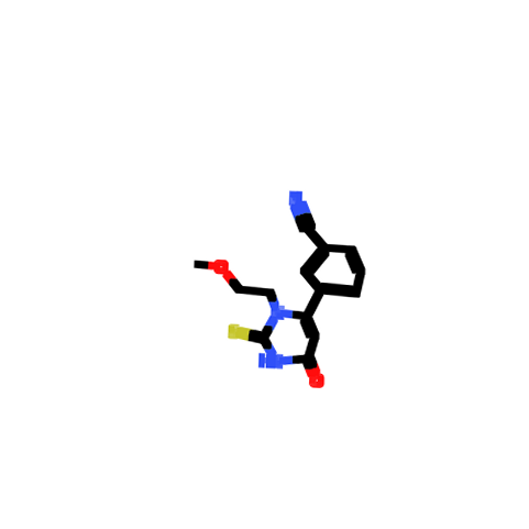 COCCn1c(-c2cccc(C#N)c2)cc(=O)[nH]c1=S